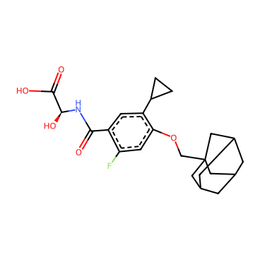 O=C(N[C@@H](O)C(=O)O)c1cc(C2CC2)c(OCC23CC4CC(CC(C4)C2)C3)cc1F